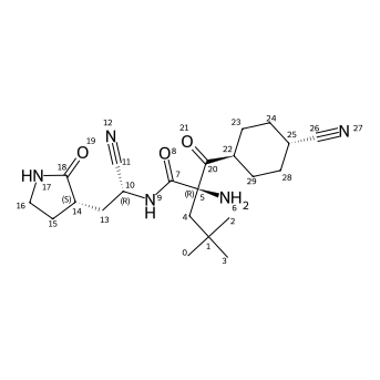 CC(C)(C)C[C@](N)(C(=O)N[C@@H](C#N)C[C@@H]1CCNC1=O)C(=O)[C@H]1CC[C@H](C#N)CC1